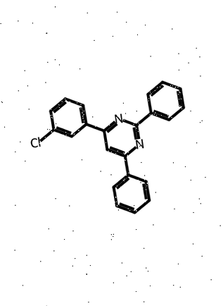 Clc1cccc(-c2cc(-c3ccccc3)nc(-c3ccccc3)n2)c1